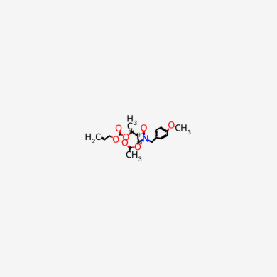 C=CCOC(=O)O[C@H](C)[C@@H]1C(=O)N(Cc2ccc(OC)cc2)[C@@H]1OC(C)=O